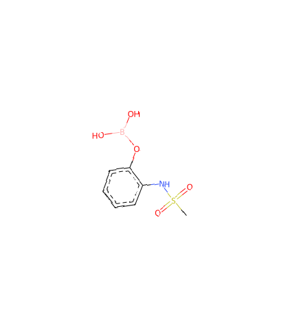 CS(=O)(=O)Nc1ccccc1OB(O)O